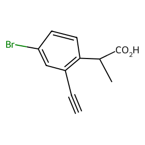 C#Cc1cc(Br)ccc1C(C)C(=O)O